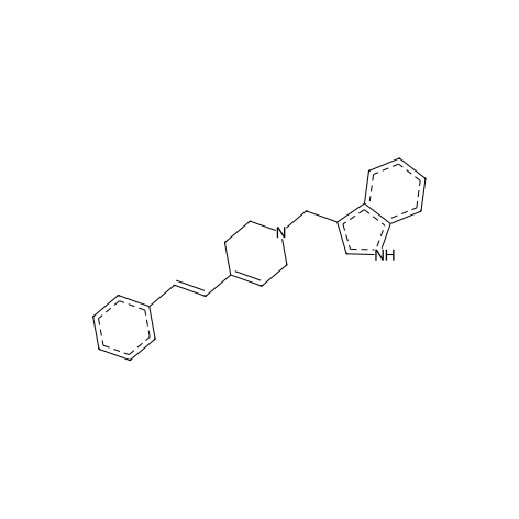 C(=Cc1ccccc1)C1=CCN(Cc2c[nH]c3ccccc23)CC1